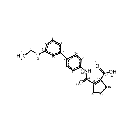 CCOc1cccc(-c2ccc(NC(=O)C3=C(C(=O)O)CCC3)cc2)c1